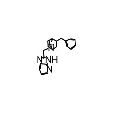 c1ccc(CC2CC3CCC2CN3Cc2nc3cccnc3[nH]2)cc1